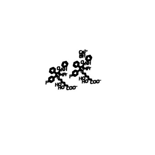 CC(C)c1c(C(=O)Nc2ccccc2)c(-c2ccccc2)c(-c2ccc(F)cc2)n1CC[C@@H](O)C[C@@H](O)CC(=O)[O-].CC(C)c1c(C(=O)Nc2ccccc2)c(-c2ccccc2)c(-c2ccc(F)cc2)n1CC[C@@H](O)C[C@@H](O)CC(=O)[O-].CCCO.[Ca+2]